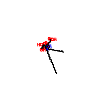 CCCCCCCCCCCCCCCCCCN(C(=O)CCCCCCCCCCC)[C@@H]1O[C@H](CO)[C@@H](O)[C@H](O)[C@H]1NC(=O)CCCC(=O)O